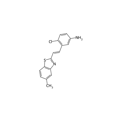 Cc1ccc2sc(C=Cc3cc(N)ccc3Cl)nc2c1